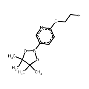 CC1(C)OB(c2ccc(OCCF)nc2)OC1(C)C